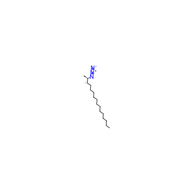 CCCCCCCCCCCCC[CH][C@@H](C)N=[N+]=[N-]